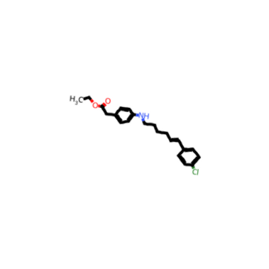 CCOC(=O)Cc1ccc(NCCCCC=Cc2ccc(Cl)cc2)cc1